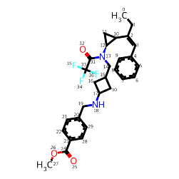 CCC(=Cc1ccccc1)C1C[C@@H]1N(CC1CC(NCc2ccc(C(=O)OC)cc2)C1)C(=O)C(F)(F)F